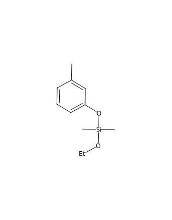 CCO[Si](C)(C)Oc1cccc(C)c1